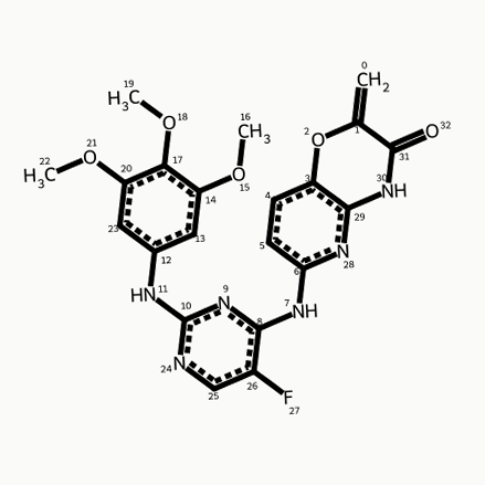 C=C1Oc2ccc(Nc3nc(Nc4cc(OC)c(OC)c(OC)c4)ncc3F)nc2NC1=O